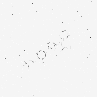 CC(=O)N(c1nc(-c2ccc(OCC(F)(F)F)c(F)c2)cs1)N1C=NC=CC1